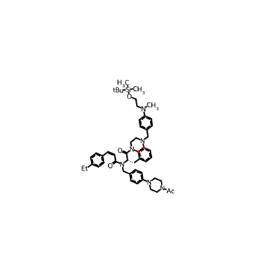 CCc1ccc(/C=C\C(=O)N(Cc2ccc(N3CCN(C(C)=O)CC3)cc2)[C@@H](Cc2ccccc2)C(=O)N2CCN(Cc3ccc(N(C)CCO[Si](C)(C)C(C)(C)C)cc3)CC2)cc1